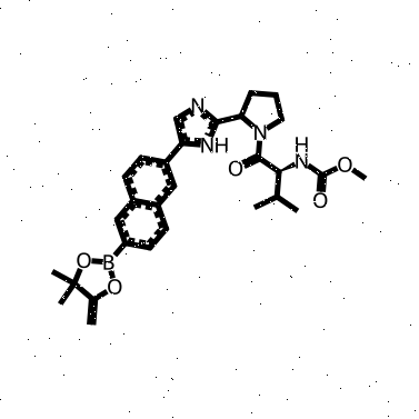 C=C1OB(c2ccc3cc(-c4cnc(C5CCCN5C(=O)[C@@H](NC(=O)OC)C(C)C)[nH]4)ccc3c2)OC1(C)C